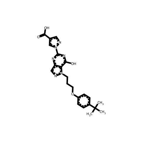 CC(C)(C)c1ccc(OCCCn2ncc3nc(-n4cc(C(=O)O)cn4)nc(O)c32)cc1